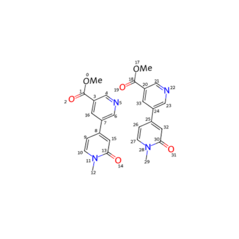 COC(=O)c1cncc(-c2ccn(C)c(=O)c2)c1.COC(=O)c1cncc(-c2ccn(C)c(=O)c2)c1